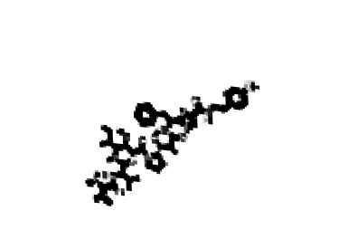 CCC(C)C(C(CC(=O)N1CCC[C@H]1C(OC)C(C)C(=O)NC(Cc1ccccc1)c1nc(C(=O)NCCc2ccc(O)cc2)cs1)OC)N(C)C(=O)C(NC(=O)C(C(C)C)N(C)C)C(C)C